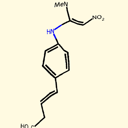 CNC(=C[N+](=O)[O-])Nc1ccc(/C=C/CC(=O)O)cc1